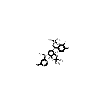 CN(c1cc(Cl)ncn1)[C@@H]1C[C@H](C(O[Si](C)(C)C(C)(C)C)c2ccc(F)c(F)c2)[C@H]2OC(C)(C)O[C@H]21